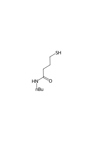 CCCCNC(=O)CCCS